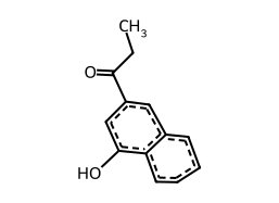 CCC(=O)c1cc(O)c2ccccc2c1